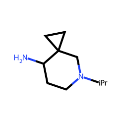 CC(C)N1CCC(N)C2(CC2)C1